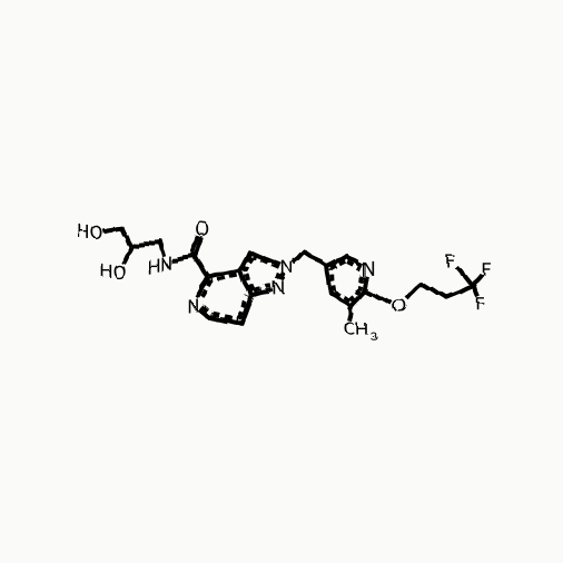 Cc1cc(Cn2cc3c(C(=O)NCC(O)CO)nccc3n2)cnc1OCCC(F)(F)F